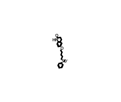 O=C1CCc2cc(OCCCCC[S+]([O-])c3ccccc3)ccc2N1